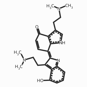 CN(C)CCC1=c2c(O)cccc2=NC1=C1C=CC(=O)c2c(CCN(C)C)c[nH]c21